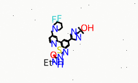 CCNC(=O)Nc1nc2cc(-c3cnc(C(C)(C)O)nc3)cc(-c3cc(CN4CCCC(F)(F)C4)ccn3)c2s1